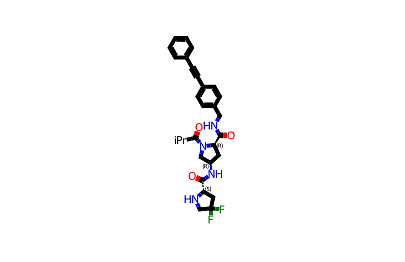 CC(C)C(=O)N1C[C@H](NC(=O)[C@@H]2CC(F)(F)CN2)C[C@@H]1C(=O)NCc1ccc(C#Cc2ccccc2)cc1